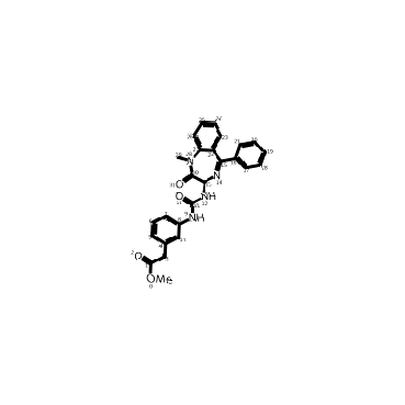 COC(=O)Cc1cccc(NC(=O)N[C@@H]2N=C(c3ccccc3)c3ccccc3N(C)C2=O)c1